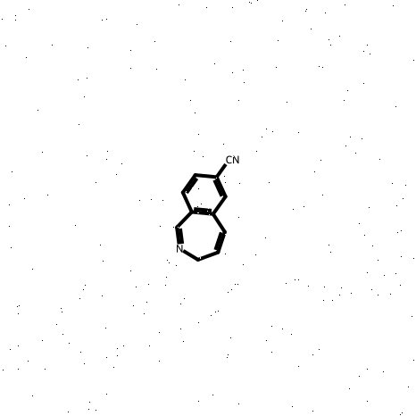 N#Cc1ccc2c(c1)C=CCN=C2